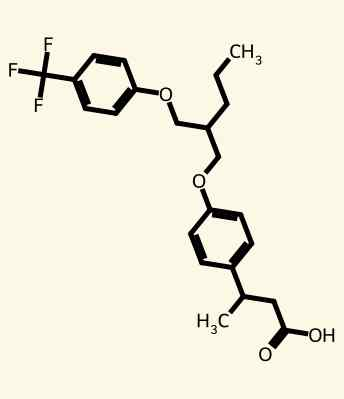 CCCC(COc1ccc(C(C)CC(=O)O)cc1)COc1ccc(C(F)(F)F)cc1